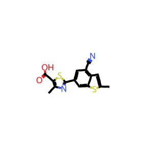 Cc1cc2c(C#N)cc(-c3nc(C)c(C(=O)O)s3)cc2s1